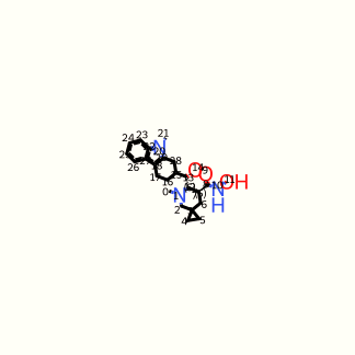 CN1CC2(CC2)C[C@H](C(=O)NO)[C@H]1C(=O)C1CCc2c(n(C)c3ccccc23)C1